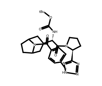 CC(C)(C)OC(=O)N[C@H](C(=O)N1CCC[C@H]1c1nn[nH]n1)C1CC2CCC(C1)N2C(=O)c1ccc(F)cc1